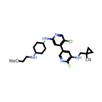 COCCN[C@H]1CC[C@H](Nc2cc(-c3cnc(F)c(NCC4(C#N)CC4)c3)c(Cl)cn2)CC1